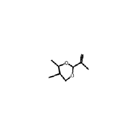 C=C(C)C1OCC(C)C(C)O1